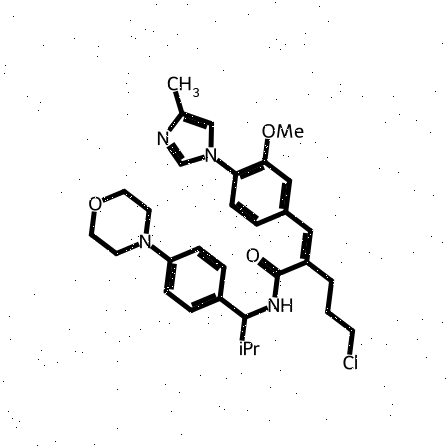 COc1cc(C=C(CCCCl)C(=O)NC(c2ccc(N3CCOCC3)cc2)C(C)C)ccc1-n1cnc(C)c1